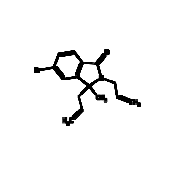 C=CCN1C(=O)c2ccc(Br)cc2C1(C)CC=C